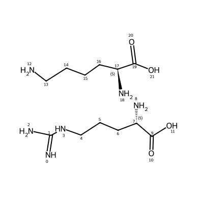 N=C(N)NCCC[C@H](N)C(=O)O.NCCCC[C@H](N)C(=O)O